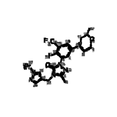 Cc1nn(-c2cc(N3CCO[C@H](C)C3)cc(C(F)(F)F)c2F)c(=O)n1Cc1cnn(C(C)C)c1